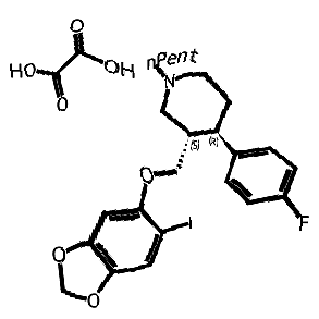 CCCCCN1CC[C@@H](c2ccc(F)cc2)[C@H](COc2cc3c(cc2I)OCO3)C1.O=C(O)C(=O)O